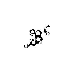 COC(=O)[C@H]1C[C@]2(CCO2)c2c1cnc1cc(Cl)nn21